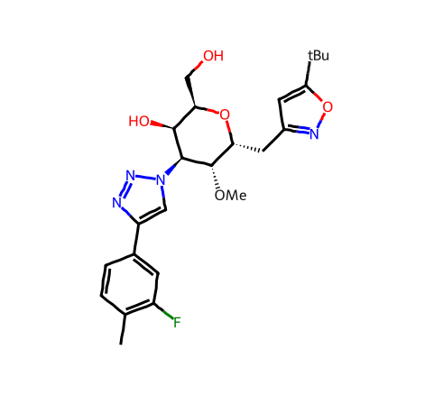 CO[C@@H]1[C@@H](n2cc(-c3ccc(C)c(F)c3)nn2)[C@@H](O)[C@@H](CO)O[C@@H]1Cc1cc(C(C)(C)C)on1